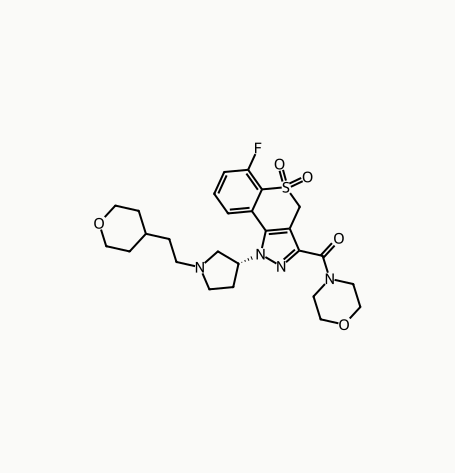 O=C(c1nn([C@@H]2CCN(CCC3CCOCC3)C2)c2c1CS(=O)(=O)c1c(F)cccc1-2)N1CCOCC1